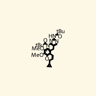 COc1cc(Cc2cnc(NC(=O)C(C)(C)C)nc2NC(=O)C(C)(C)C)c2c(c1OC)OC(C1CC1)C=C2